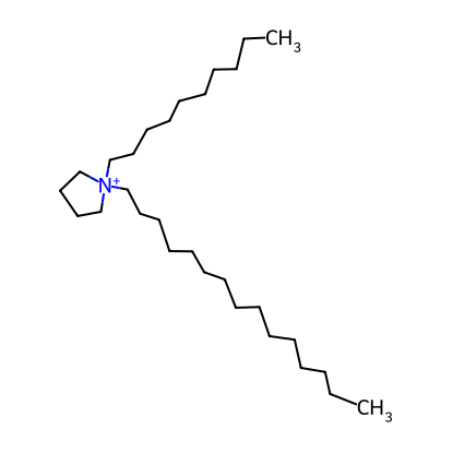 CCCCCCCCCCCCCCC[N+]1(CCCCCCCCCC)CCCC1